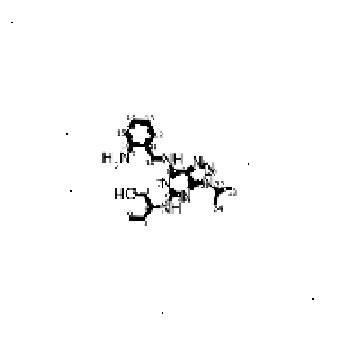 CCC(CO)Nc1nc(NCc2ccccc2N)c2nnn(C(C)C)c2n1